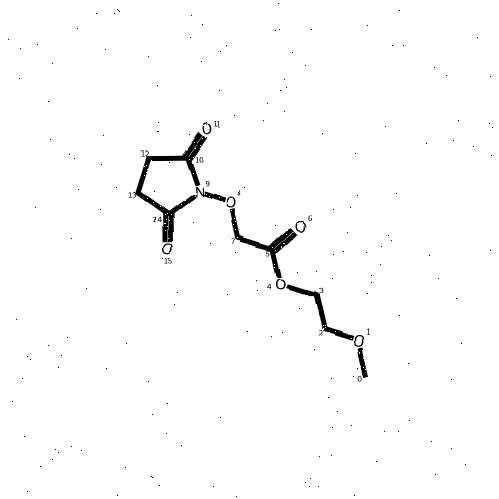 COCCOC(=O)CON1C(=O)CCC1=O